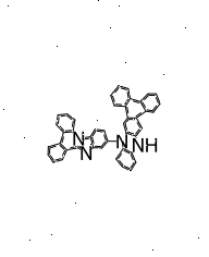 c1ccc2c(c1)Nc1cc3c4ccccc4c4ccccc4c3cc1N2c1ccc2c(c1)nc1c3ccccc3c3ccccc3n21